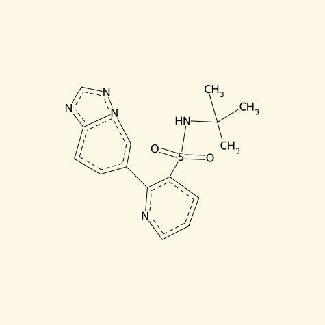 CC(C)(C)NS(=O)(=O)c1cccnc1-c1ccc2ncnn2c1